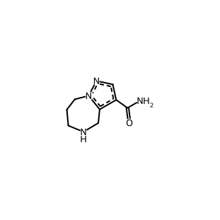 NC(=O)c1cnn2c1CNCCC2